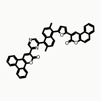 Cc1ccc2c(-c3ccc(-c4cc5c(ccc6ccccc65)oc4=O)o3)c(C)ccc2c1-c1cncc(-c2cc3c4ccccc4c4ccccc4c3oc2=O)n1